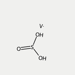 O=S(O)O.[V]